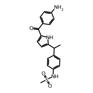 CC(c1ccc(NS(C)(=O)=O)cc1)c1ccc(C(=O)c2ccc(N)cc2)[nH]1